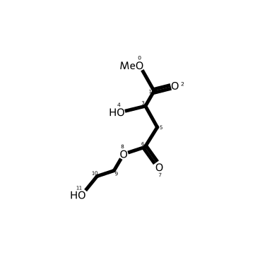 COC(=O)C(O)CC(=O)OCCO